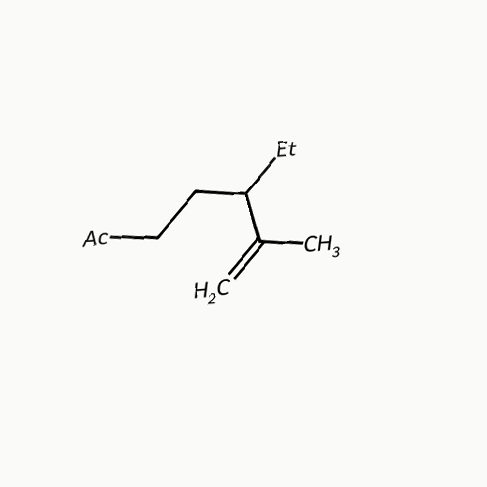 C=C(C)C(CC)CCC(C)=O